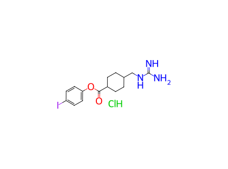 Cl.N=C(N)NCC1CCC(C(=O)Oc2ccc(I)cc2)CC1